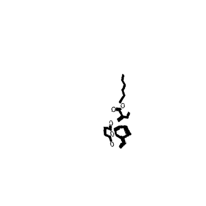 C=C(CC)C(=O)OCCCCCC.C=Cc1ccccc1.O=C1C=CC(=O)O1